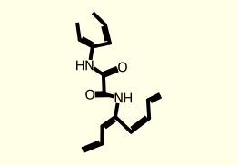 C=C/C=C\C(=C/C=C)NC(=O)C(=O)NC(/C=C\C)=C/C